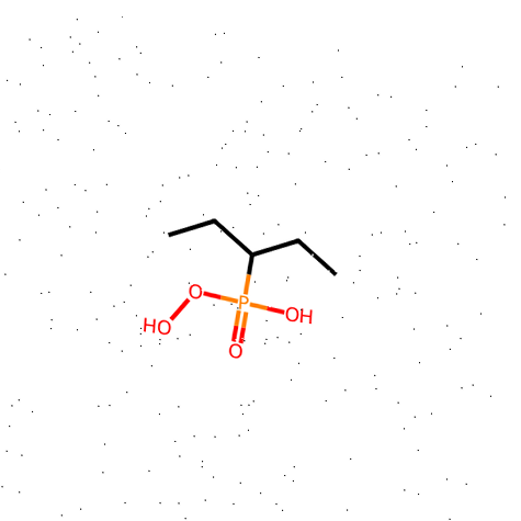 CCC(CC)P(=O)(O)OO